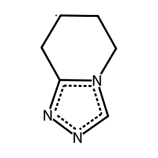 [CH]1CCn2cnnc2C1